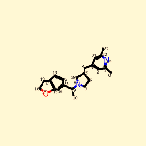 Cc1cc(C[C@H]2CCN([C@@H](C)c3ccc4c(c3)OCC4)C2)cc(C)n1